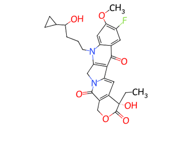 CC[C@@]1(O)C(=O)OCc2c1cc1n(c2=O)Cc2c-1c(=O)c1cc(F)c(OC)cc1n2CCCC(O)C1CC1